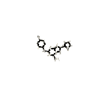 Nc1nc(Oc2ccc(F)cc2)nc2nc(-c3ccco3)nn12